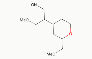 COCC1CC(C(CN=O)COC)CCO1